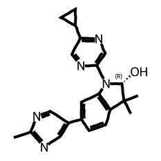 Cc1ncc(-c2ccc3c(c2)N(c2cnc(C4CC4)cn2)[C@H](O)C3(C)C)cn1